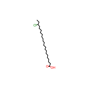 CCC(Cl)CCCCCCCCCCCCCCCCCCCC(=O)O